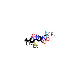 CCSc1cc(C2(C#N)CC2)c[n+]([O-])c1-c1cc2c(cn1)N(CC(F)(F)C(F)(F)F)C(=O)OC2